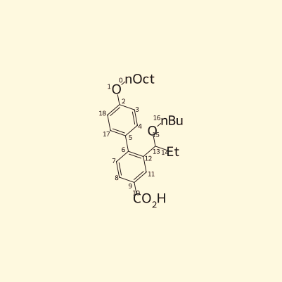 CCCCCCCCOc1ccc(-c2ccc(C(=O)O)cc2C(CC)OCCCC)cc1